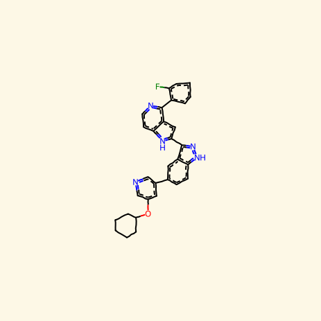 Fc1ccccc1-c1nccc2[nH]c(-c3n[nH]c4ccc(-c5cncc(OC6CCCCC6)c5)cc34)cc12